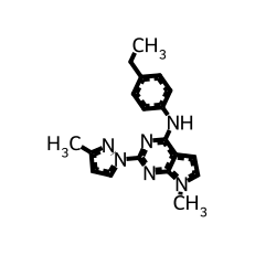 CCc1ccc(Nc2nc(-n3ccc(C)n3)nc3c2ccn3C)cc1